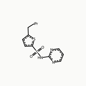 CC(C)Cc1ccc(S(=O)(=O)Nc2ncccn2)s1